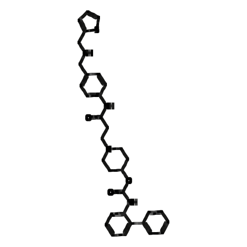 O=C(CCN1CCC(OC(=O)Nc2ccccc2-c2ccccc2)CC1)Nc1ccc(CNCc2cccs2)cc1